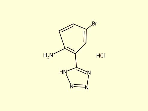 Cl.Nc1ccc(Br)cc1-c1nnn[nH]1